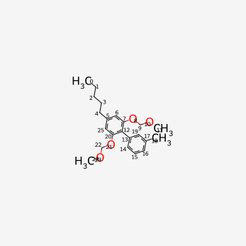 CCCCCc1cc(OCOC)c(-c2cccc(C)c2)c(OCOC)c1